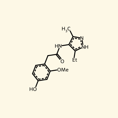 CCc1[nH]nc(C)c1NC(=O)Cc1ccc(O)cc1OC